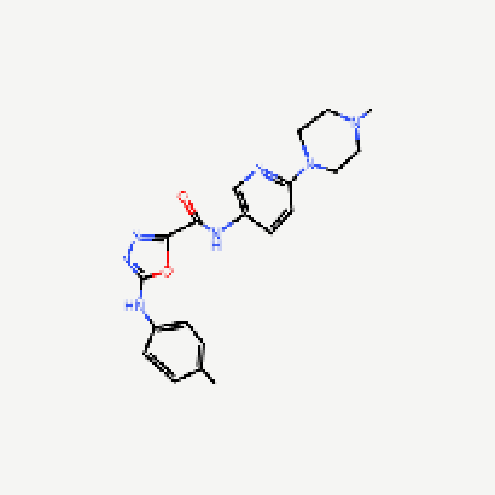 Cc1ccc(Nc2nnc(C(=O)Nc3ccc(N4CCN(C)CC4)nc3)o2)cc1